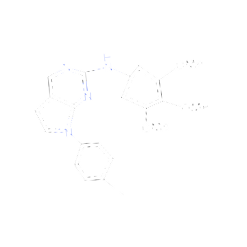 COc1cc(Nc2ncc3ccn(-c4ccc(C)cc4)c3n2)cc(OC)c1OC